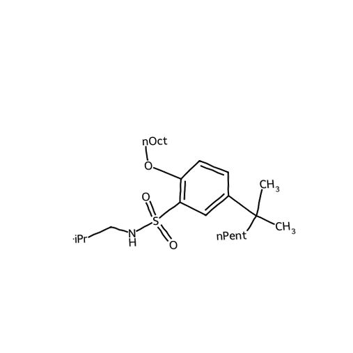 CCCCCCCCOc1ccc(C(C)(C)CCCCC)cc1S(=O)(=O)NC[C](C)C